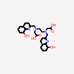 O=C(O)CN(CCN(CC(=O)O)Cc1ccc2cccc(O)c2n1)Cc1ccc2cccc(O)c2n1